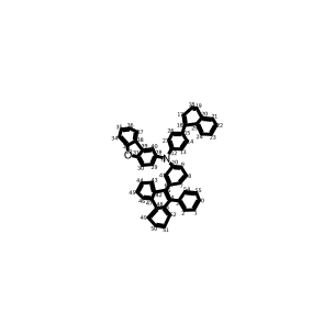 c1ccc(-c2c(-c3cccc(N(c4ccc(-c5cccc6ccccc56)cc4)c4ccc5oc6ccccc6c5c4)c3)c3ccccc3c3ccccc23)cc1